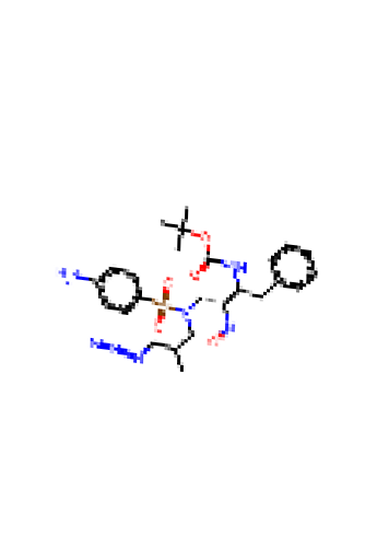 CC(CN=[N+]=[N-])CN(C[C@@H](N=O)[C@H](Cc1ccccc1)NC(=O)OC(C)(C)C)S(=O)(=O)c1ccc(N)cc1